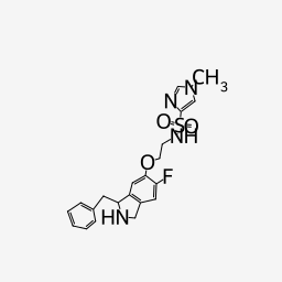 Cn1cnc(S(=O)(=O)NCCOc2cc3c(cc2F)CNC3Cc2ccccc2)c1